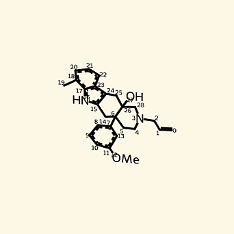 C=CCN1CCC2(c3cccc(OC)c3)Cc3[nH]c4c(C)cccc4c3CC2(O)C1